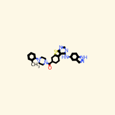 Cc1ccccc1N1CCN(C(=O)C2CCc3c(sc4ncnc(Nc5ccc6[nH]ncc6c5)c34)C2)CC1